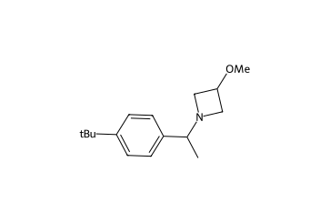 COC1CN(C(C)c2ccc(C(C)(C)C)cc2)C1